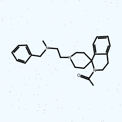 CC(=O)N1CCc2ccccc2C12CCN(CCN(C)Cc1ccccc1)CC2